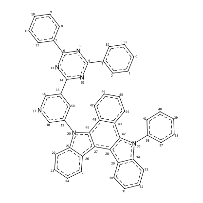 c1ccc(-c2nc(-c3ccccc3)nc(-c3cncc(-n4c5ccccc5c5c6c7ccccc7n(-c7ccccc7)c6c6ccccc6c54)c3)n2)cc1